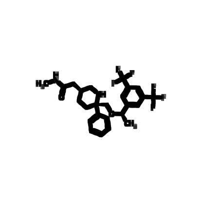 CNC(=O)C[C@@H]1CC[C@@](CO[C@H](C)c2cc(C(F)(F)F)cc(C(F)(F)F)c2)(c2ccccc2)NC1